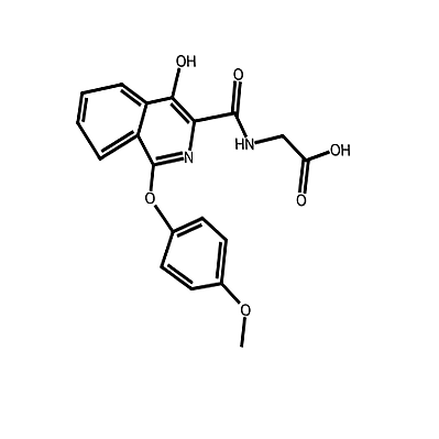 COc1ccc(Oc2nc(C(=O)NCC(=O)O)c(O)c3ccccc23)cc1